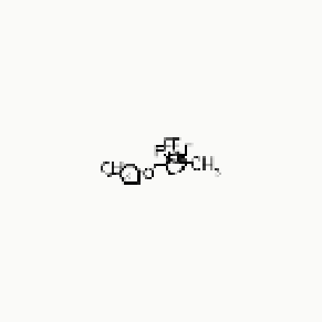 CCC1CCC(OCC23CCC(C)(CC2)C(F)(F)C3(F)F)CC1